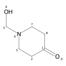 O=C1CCN(CO)CC1